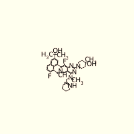 C#Cc1c(F)ccc2cc(C(C)(C)O)cc(-c3ncc4c(N(C)C[C@@H]5CCCCN5)nc(N5CCC(C)(O)CC5)nc4c3F)c12